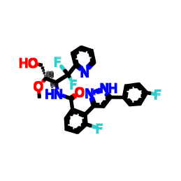 CO[C@H](CO)[C@H](NC(=O)c1cccc(F)c1-c1cc(-c2ccc(F)cc2)[nH]n1)C(F)(F)c1ccccn1